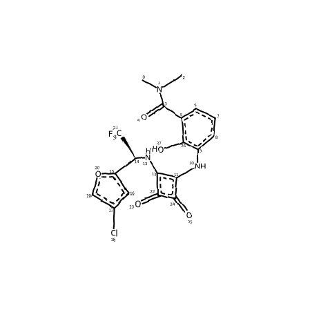 CN(C)C(=O)c1cccc(Nc2c(N[C@@H](c3cc(Cl)co3)C(F)(F)F)c(=O)c2=O)c1O